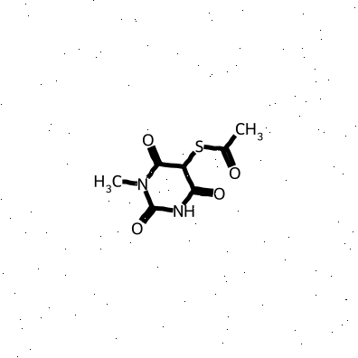 CC(=O)SC1C(=O)NC(=O)N(C)C1=O